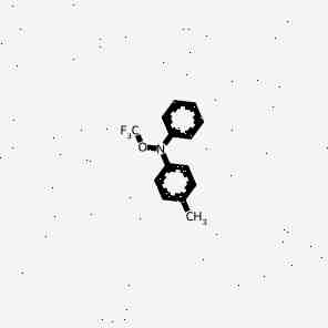 Cc1ccc(N(OC(F)(F)F)c2ccccc2)cc1